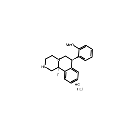 COc1ccccc1[C@@H]1CN2CCNC[C@@H]2c2ccccc21.Cl.Cl